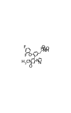 Cn1cc(-c2cc(CCN[SH](=O)=O)ccc2Oc2ccc(F)cc2F)c(-n2cccn2)cc1=O